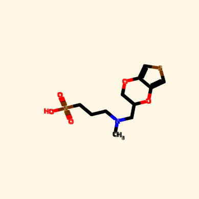 CN(CCCS(=O)(=O)O)CC1COc2cscc2O1